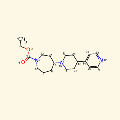 CCOC(=O)N1CCCC(N2CCC(c3ccncc3)CC2)CC1